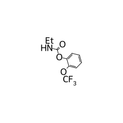 CCNC(=O)Oc1ccccc1OC(F)(F)F